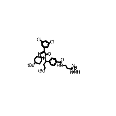 CC(C)(C)CCC(c1ccc(C(=O)NCCc2nn[nH]n2)cc1)N1C(=O)C(c2cc(Cl)cc(Cl)c2)=NC12CCC(C(C)(C)C)CC2